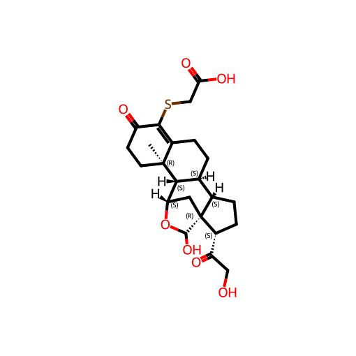 C[C@]12CCC(=O)C(SCC(=O)O)=C1CC[C@@H]1[C@@H]2[C@@H]2C[C@]3(C(O)O2)[C@@H](C(=O)CO)CC[C@@H]13